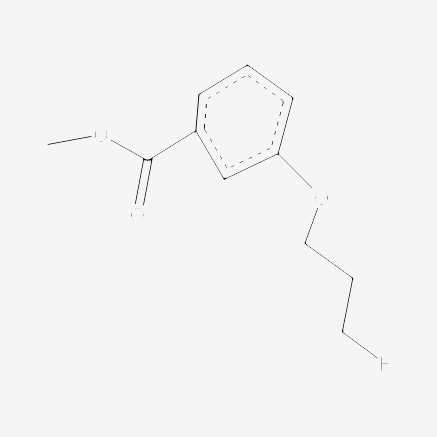 COC(=O)c1cccc(OCCCF)c1